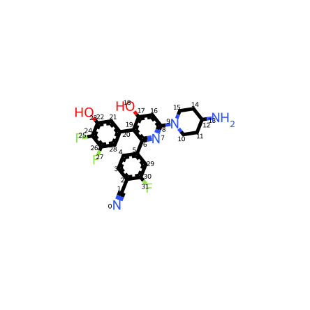 N#Cc1ccc(-c2nc(N3CCC(N)CC3)cc(O)c2-c2cc(O)c(F)c(F)c2)cc1F